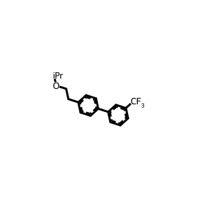 CC(C)OCCc1ccc(-c2cccc(C(F)(F)F)c2)cc1